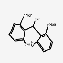 CCCCCCCCCc1cccc(O)c1C(CCC)c1c(O)cccc1CCCCCCCCC